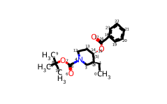 CC[C@H]1CN(C(=O)OC(C)(C)C)CC[C@@H]1OC(=O)c1ccccc1